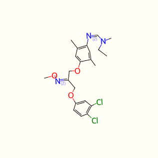 CCN(C)/C=N\c1cc(C)c(OC/C(COc2ccc(Cl)c(Cl)c2)=N\OC)cc1C